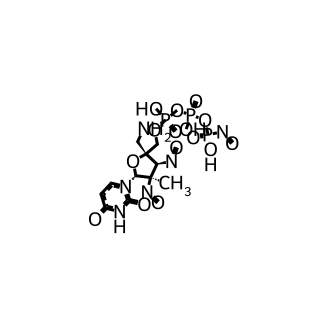 C[C@@]1(N=O)[C@H](N=O)[C@@](CN)(COP(=O)(O)OP(=O)(O)OP(=O)(O)N=O)O[C@H]1n1ccc(=O)[nH]c1=O